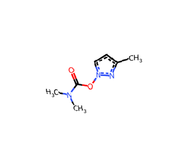 Cc1ccn(OC(=O)N(C)C)n1